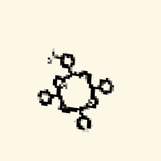 O=[N+]([O-])c1cccc(-c2c3nc(c(-c4ccncc4)c4ccc([nH]4)c(-c4ccncc4)c4nc(c(-c5ccncc5)c5ccc2[nH]5)C=C4)C=C3)c1